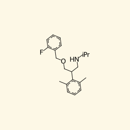 Cc1cccc(C)c1C(CNC(C)C)COCc1ccccc1F